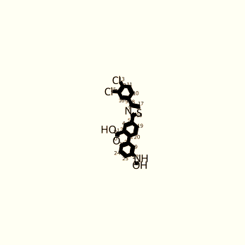 O=C(O)c1cc(-c2nc(-c3ccc(Cl)c(Cl)c3)cs2)ccc1-c1cccc(NO)c1